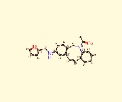 CC(=O)N1Cc2ccc(NCc3ccco3)cc2C=Cc2ccccc21